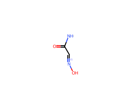 [NH]C(=O)/C=N/O